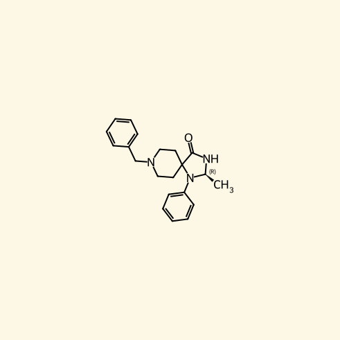 C[C@@H]1NC(=O)C2(CCN(Cc3ccccc3)CC2)N1c1ccccc1